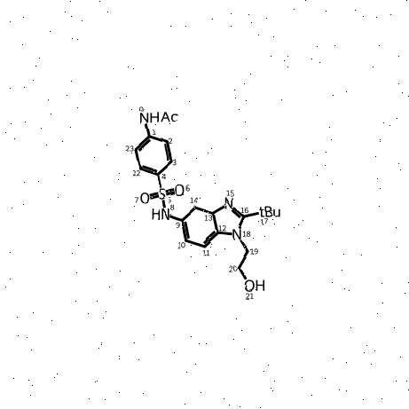 CC(=O)Nc1ccc(S(=O)(=O)NC2=CC=C3C(C2)N=C(C(C)(C)C)N3CCO)cc1